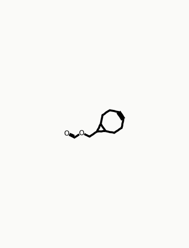 O=COCC1C2CCC#CCCC21